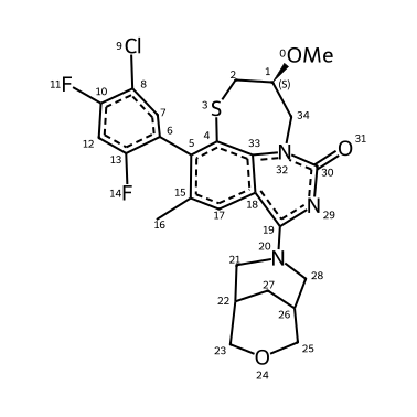 CO[C@@H]1CSc2c(-c3cc(Cl)c(F)cc3F)c(C)cc3c(N4CC5COCC(C5)C4)nc(=O)n(c23)C1